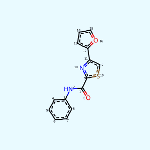 O=C(Nc1ccccc1)c1nc(-c2ccco2)cs1